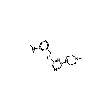 CN(C)c1cccc(COc2cncc(N3CCNCC3)n2)c1